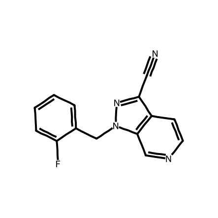 N#Cc1nn(Cc2ccccc2F)c2cnccc12